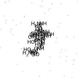 CC(C)[C@H](NC(=O)CNC(=O)CNC(=O)[C@@H]1CCCN1C(=O)[C@@H](N)CO)C(=O)N[C@@H](Cc1ccc(O)cc1)C(=O)N[C@@H](C)C(=O)N[C@H](C(=O)N[C@@H](CCCNC(=N)N)C(=O)N[C@@H](CO)C(=O)N[C@@H](CO)C(=O)N[C@@H](C)C(=O)O)[C@@H](C)O